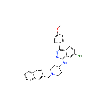 COc1ccc(-c2nnc(NC3CCN(Cc4ccc5ccccc5c4)CC3)c3cc(Cl)ccc23)cc1